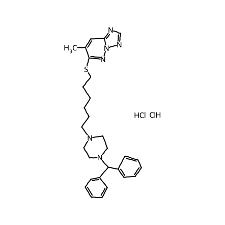 Cc1cc2ncnn2nc1SCCCCCCN1CCN(C(c2ccccc2)c2ccccc2)CC1.Cl.Cl